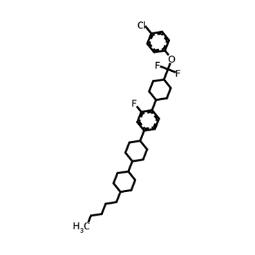 CCCCCC1CCC(C2CCC(c3ccc(C4CCC(C(F)(F)Oc5ccc(Cl)cc5)CC4)c(F)c3)CC2)CC1